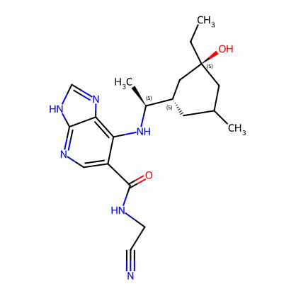 CC[C@]1(O)CC(C)C[C@H]([C@H](C)Nc2c(C(=O)NCC#N)cnc3[nH]cnc23)C1